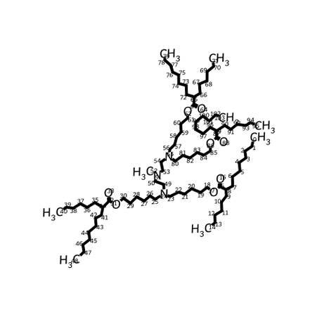 CCCCCCCCC(CCCCCC)C(=O)OCCCCCCN(CCCCCCOC(=O)C(CCCCCC)CCCCCCCC)CCN(C)CCN(CCCCCCOC(=O)C(CCCCCC)CCCCCCCC)CCCCCCOC(=O)C(CCCCCC)CCCCCCCC